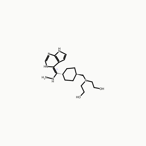 NN/C(=C1\NC=Nc2[nH]ccc21)[C@H]1CC[C@H](CN(CCO)CCO)CC1